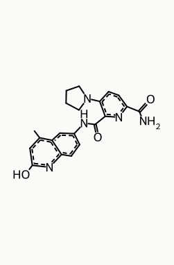 Cc1cc(O)nc2ccc(NC(=O)c3nc(C(N)=O)ccc3N3CCCC3)cc12